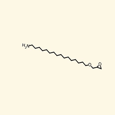 NCCCCCCCCCCCCCCCCOCC1CO1